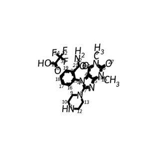 Cn1c(=O)c2c(nc(N3CCNCC3)n2-c2ccccc2C(N)=O)n(C)c1=O.O=C(O)C(F)(F)F